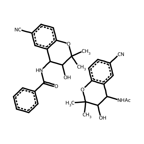 CC(=O)NC1c2cc(C#N)ccc2OC(C)(C)C1O.CC1(C)Oc2ccc(C#N)cc2C(NC(=O)c2ccccc2)C1O